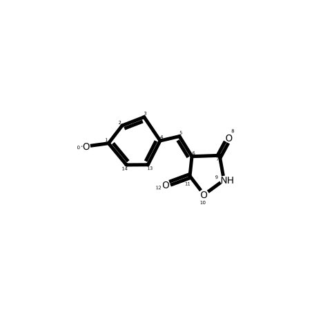 [O]c1ccc(C=C2C(=O)NOC2=O)cc1